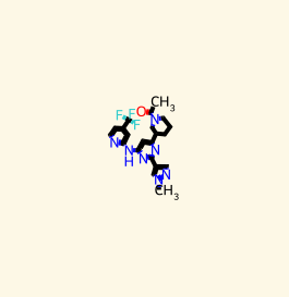 CC(=O)N1CCCC(c2cc(Nc3cc(C(F)(F)F)ccn3)nc(-c3cnn(C)c3)n2)C1